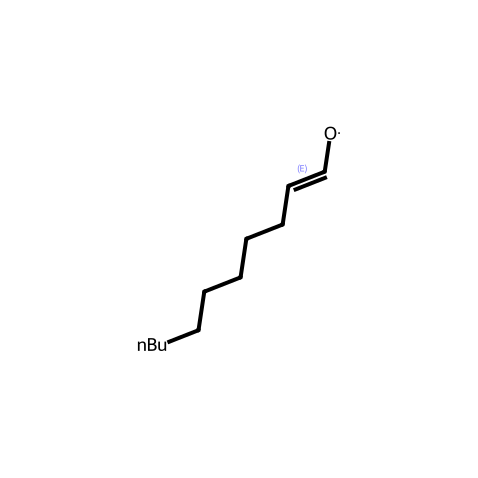 CCCCCCCCC/C=C/[O]